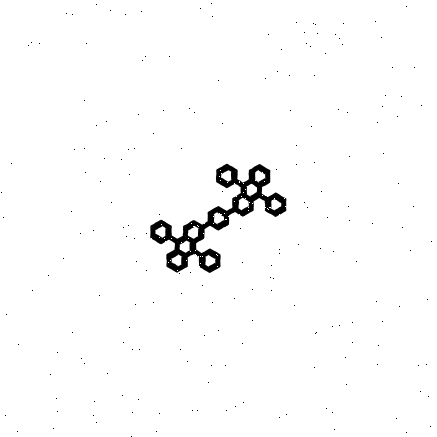 c1ccc(-c2c3ccccc3c(-c3ccccc3)c3cc(-c4ccc(-c5ccc6c(-c7ccccc7)c7ccccc7c(-c7ccccc7)c6c5)cc4)ccc23)cc1